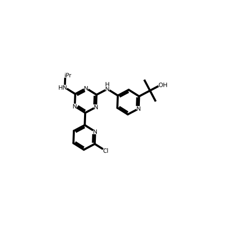 CC(C)Nc1nc(Nc2ccnc(C(C)(C)O)c2)nc(-c2cccc(Cl)n2)n1